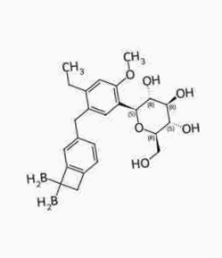 BC1(B)Cc2ccc(Cc3cc([C@@H]4O[C@H](CO)[C@@H](O)[C@H](O)[C@H]4O)c(OC)cc3CC)cc21